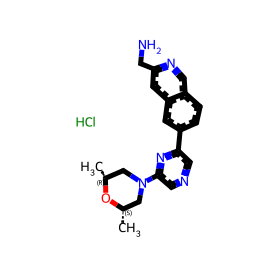 C[C@@H]1CN(c2cncc(-c3ccc4cnc(CN)cc4c3)n2)C[C@H](C)O1.Cl